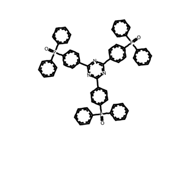 O=P(c1ccccc1)(c1ccccc1)c1ccc(-c2nc(-c3ccc(P(=O)(c4ccccc4)c4ccccc4)cc3)nc(-c3ccc(P(=O)(c4ccccc4)c4ccccc4)cc3)n2)cc1